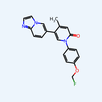 Cc1cc(=O)n(-c2ccc(OCF)cc2)cc1-c1ccc2nccn2c1